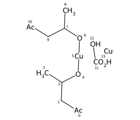 CC(=O)CC(C)[O][Cu][O]C(C)CC(C)=O.O=C(O)O.[Cu]